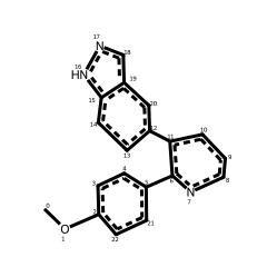 COc1ccc(-c2ncccc2-c2ccc3[nH]ncc3c2)cc1